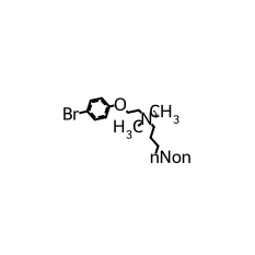 CCCCCCCCCCCC[N+](C)(C)CCOc1ccc(Br)cc1